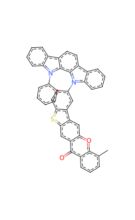 Cc1cccc2c(=O)c3cc4sc5ccc(-n6c7ccccc7c7ccc8c9ccccc9n(-c9ccccc9)c8c76)cc5c4cc3oc12